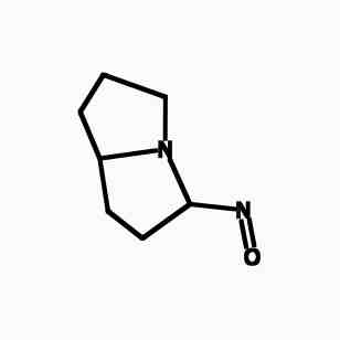 O=NC1CCC2CCCN21